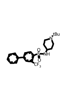 CC(C)(C)N1CCC(NS(=O)(=O)c2ccc(-c3ccccc3)cc2C(F)(F)F)CC1